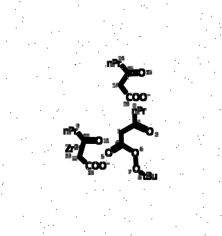 CCCC(=O)CC(=O)OOC(C)(C)C.CCCC(=O)CC(=O)[O-].CCCC(=O)CC(=O)[O-].[Zr+2]